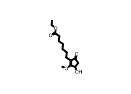 CCOC(=O)CCCCCCC1=C(OC)C(O)CC1=O